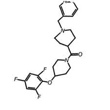 O=C(C1CCN(Cc2ccnnc2)CC1)N1CCC(Oc2c(F)cc(F)cc2F)CC1